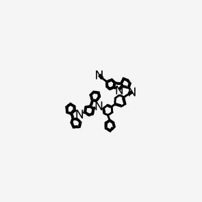 N#CC1=CC=C(C2=CC(n3c4ccccc4c4cc(-n5c6ccccc6c6ccccc65)ccc43)=CC(c3ccccc3)C2)CC1n1c2ccccc2c2cc(C#N)ccc21